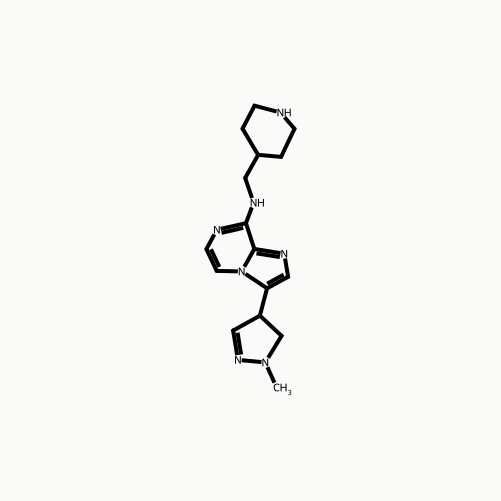 CN1CC(c2cnc3c(NCC4CCNCC4)nccn23)C=N1